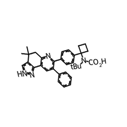 CC1(C)Cc2nc(-c3ccc(C4(N(C(=O)O)C(C)(C)C)CCC4)cc3)c(-c3ccccc3)cc2-c2n[nH]cc21